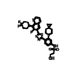 O=S(=O)(CCO)Nc1ccc(-c2nnc(-c3cc4cccnc4c(N4CCC(F)(F)CC4)c3F)o2)c(N2CCC3(CC2)CC3)c1